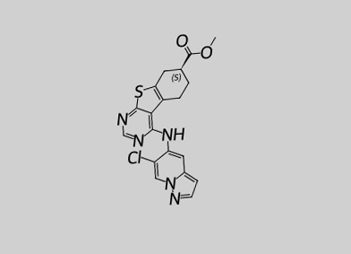 COC(=O)[C@H]1CCc2c(sc3ncnc(Nc4cc5ccnn5cc4Cl)c23)C1